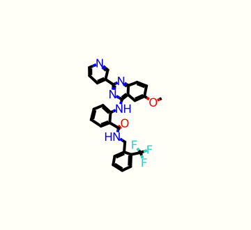 COc1ccc2nc(-c3cccnc3)nc(Nc3ccccc3C(=O)NCc3ccccc3C(F)(F)F)c2c1